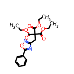 CCOC(=O)C(Cc1noc(-c2ccccc2)n1)(C(=O)OCC)C(=O)OCC